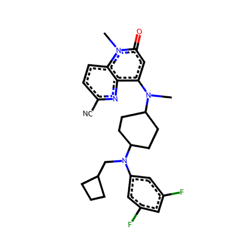 CN(c1cc(=O)n(C)c2ccc(C#N)nc12)C1CCC(N(CC2CCC2)c2cc(F)cc(F)c2)CC1